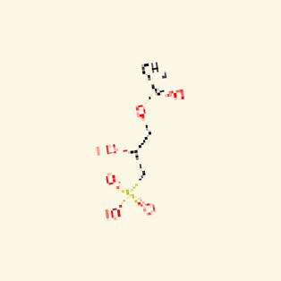 CC(=O)OCC(O)CS(=O)(=O)O